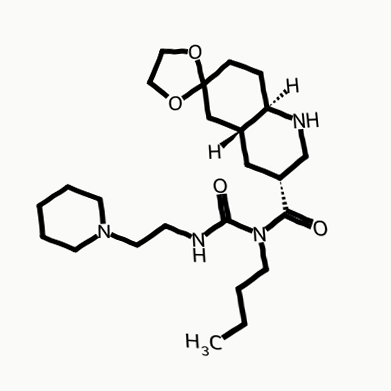 CCCCN(C(=O)NCCN1CCCCC1)C(=O)[C@H]1CN[C@@H]2CCC3(C[C@H]2C1)OCCO3